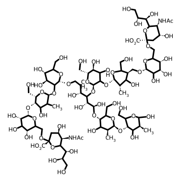 CC(=O)N[C@H]1C([C@H](O)[C@H](O)CO)O[C@@](OCC2O[C@@H](O[C@H]3C(O)C(C)[C@H](OC4[C@@H](OCC(C)[C@@H](O)C(O[C@H]5O[C@H](CO)[C@@H](O)C(O)C5O[C@@H]5OC(CO)[C@@H](CO[C@@H]6OC(CO[C@]7(C(=O)O)C[C@@H](O)[C@@H](NC(C)=O)C([C@H](O)[C@H](O)CO)O7)[C@H](O)[C@H](O)C6O)C(O)[C@@H]5C)[C@@H](O)[C@@H](O)O[C@@H]5C(CO)O[C@@H](O[C@@H]6C(CO)OC(O)[C@@H](C)C6O)[C@@H](C)C5O)OC(CO)[C@@H](O)[C@@H]4O)O[C@H]3CO)[C@@H](O)C(O)[C@H]2O)(C(=O)O)C[C@H]1O